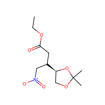 CCOC(=O)CC(C[N+](=O)[O-])[C@@H]1COC(C)(C)O1